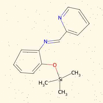 C[Si](C)(C)Oc1ccccc1N=Cc1ccccn1